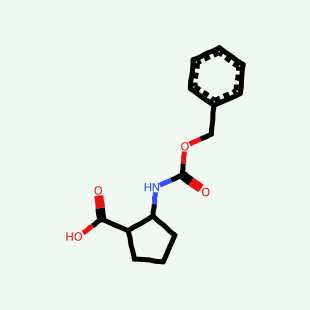 O=C(NC1CCCC1C(=O)O)OCc1ccccc1